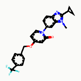 Cn1c(C2CC2)nc2ccc(-n3ccc(OCc4ccc(C(F)(F)F)cc4)cc3=O)cc21